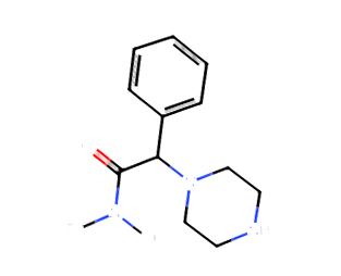 CCN(CC)C(=O)C(c1ccccc1)N1CCNCC1